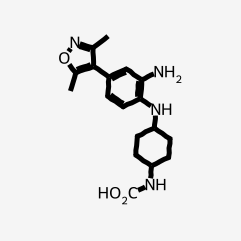 Cc1noc(C)c1-c1ccc(NC2CCC(NC(=O)O)CC2)c(N)c1